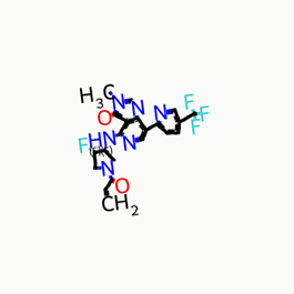 C=CC(=O)N1C[C@H](Nc2ncc(-c3ccc(C(F)(F)F)cn3)c3ncn(C)c(=O)c23)[C@@H](F)C1